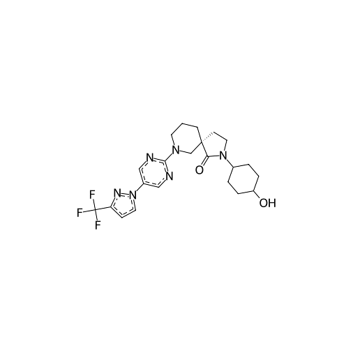 O=C1N(C2CCC(O)CC2)CC[C@]12CCCN(c1ncc(-n3ccc(C(F)(F)F)n3)cn1)C2